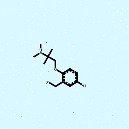 C[SiH](C)C(C)(C)COc1ccc(Cl)cc1CBr